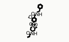 C=CC(=O)NC1CCN(S(=O)(=O)c2ccc(C(=O)NCCc3ccccc3)c(OC)c2)C(C)C1